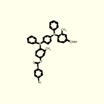 COc1ccc(N(c2ccccc2)c2ccc(N(c3ccccc3)c3ccc(OC(=O)c4ccc(C(C)=O)cc4)cc3C)cc2)c(C)c1